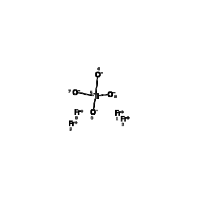 [Fr+].[Fr+].[Fr+].[Fr+].[O-][Ti]([O-])([O-])[O-]